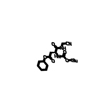 CC(C)(C)OC(=O)N[C@@H](CC(=O)OC1CCCCC1)C(=O)NCC#N